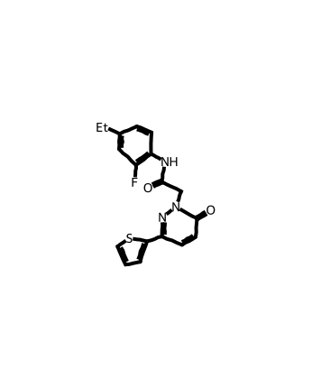 CCc1ccc(NC(=O)Cn2nc(-c3cccs3)ccc2=O)c(F)c1